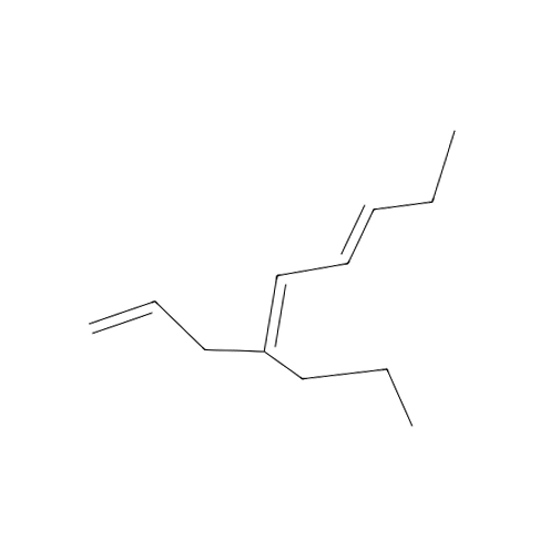 C=CCC(=CC=CCC)CCC